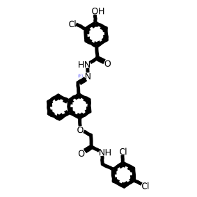 O=C(COc1ccc(/C=N/NC(=O)c2ccc(O)c(Cl)c2)c2ccccc12)NCc1ccc(Cl)cc1Cl